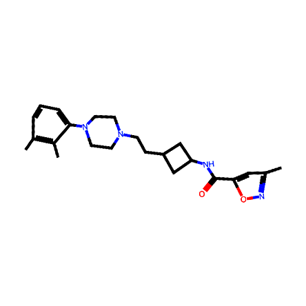 Cc1cc(C(=O)NC2CC(CCN3CCN(c4cccc(C)c4C)CC3)C2)on1